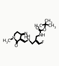 CN1CCC(=N)/C(=C\NC/C(=C/F)CNC(=O)OC(C)(C)C)C1=O